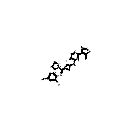 Cc1scnc1-c1ncc(F)c(OC2CN(C(=O)N3N=CC[C@H]3c3cc(F)cc(F)c3)C2)n1